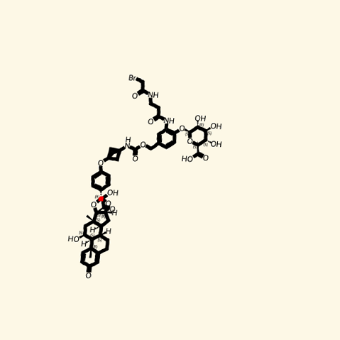 C[C@]12C=CC(=O)C=C1CC[C@@H]1[C@@H]2[C@@H](O)C[C@@]2(C)[C@H]1C[C@H]1O[C@@H](c3ccc(OC45CC(NC(=O)OCc6ccc(O[C@@H]7O[C@H](C(=O)O)[C@@H](O)[C@H](O)[C@H]7O)c(NC(=O)CCNC(=O)CBr)c6)(C4)C5)cc3)O[C@]12C(=O)CO